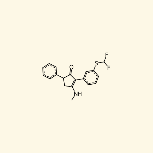 CNC1=C(c2cccc(SC(F)F)c2)C(=O)C(c2ccccc2)C1